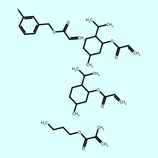 C=C(C)C(=O)OCCCC.C=CC(=O)OC1CC(C)CCC1C(C)C.C=CC(=O)OC1CC(C)CCC1C(C)C.C=CC(=O)OCc1cccc(I)c1